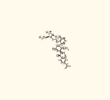 CC#CC(CCOc1c(N)ncnc1-c1cc(F)cc(NC(=O)c2ccc(C3CC3)cc2F)c1C)=NC